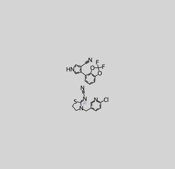 N#C/N=C1\SCCN1Cc1ccc(Cl)nc1.N#Cc1c[nH]cc1-c1cccc2c1OC(F)(F)O2